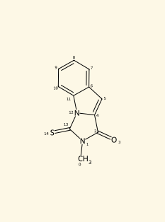 CN1C(=O)c2cc3ccccc3n2C1=S